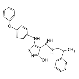 CC(CNC(=N)c1c(O)nsc1Nc1ccc(Oc2ccccc2)cc1)c1ccccc1